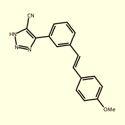 COc1ccc(/C=C/c2cccc(-c3nn[nH]c3C#N)c2)cc1